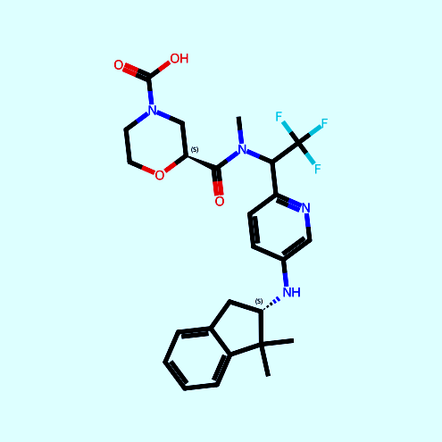 CN(C(=O)[C@@H]1CN(C(=O)O)CCO1)C(c1ccc(N[C@H]2Cc3ccccc3C2(C)C)cn1)C(F)(F)F